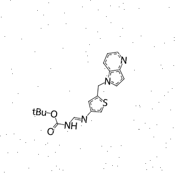 CC(C)(C)OC(=O)NC=Nc1csc(Cn2ccc3ncccc32)c1